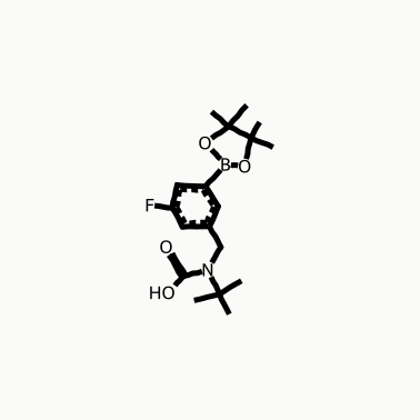 CC(C)(C)N(Cc1cc(F)cc(B2OC(C)(C)C(C)(C)O2)c1)C(=O)O